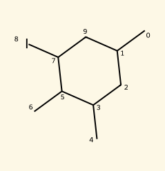 CC1CC(C)C(C)C(I)C1